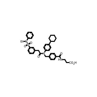 CCN(c1ccccc1)S(=O)(=O)c1cccc(CC(=O)N(Cc2ccc(C(=O)NCCC(=O)O)cc2)c2ccc(C3CCCCC3)cc2)c1